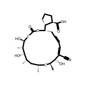 C[C@@H]1C[C@H](C)[C@H](O)[C@H](C)[C@@H](O)CC(=O)O[C@H]([C@@H]2CCC[C@H]2C(=O)O)CC=CC=C(C#N)[C@H](O)[C@@H](C)C1